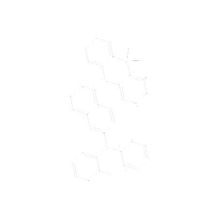 C[Si]1(C)c2ccccc2N(c2ncnc3cc(N4c5ccccc5Oc5ccccc54)ccc23)c2ccccc21